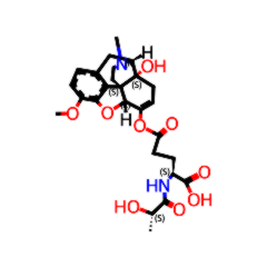 COc1ccc2c3c1O[C@H]1C(OC(=O)CC[C@H](NC(=O)[C@H](C)O)C(=O)O)=CC[C@@]4(O)[C@@H](C2)N(C)CC[C@]314